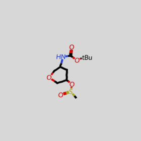 CS(=O)OC1COCC(NC(=O)OC(C)(C)C)C1